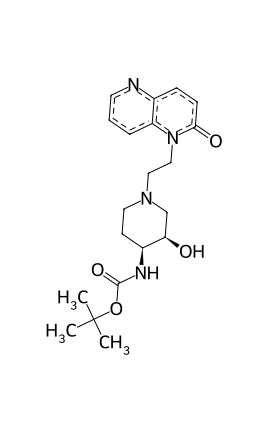 CC(C)(C)OC(=O)N[C@H]1CCN(CCn2c(=O)ccc3ncccc32)C[C@H]1O